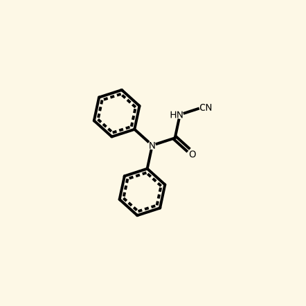 N#CNC(=O)N(c1ccccc1)c1ccccc1